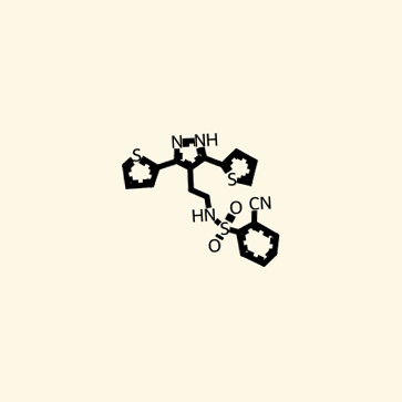 N#Cc1ccccc1S(=O)(=O)NCCc1c(-c2cccs2)n[nH]c1-c1cccs1